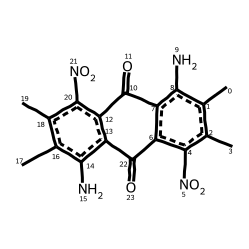 Cc1c(C)c([N+](=O)[O-])c2c(c1N)C(=O)c1c(c(N)c(C)c(C)c1[N+](=O)[O-])C2=O